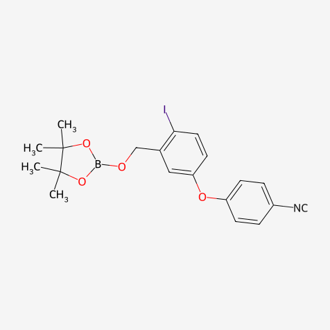 [C-]#[N+]c1ccc(Oc2ccc(I)c(COB3OC(C)(C)C(C)(C)O3)c2)cc1